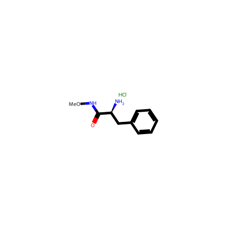 CONC(=O)[C@@H](N)Cc1ccccc1.Cl